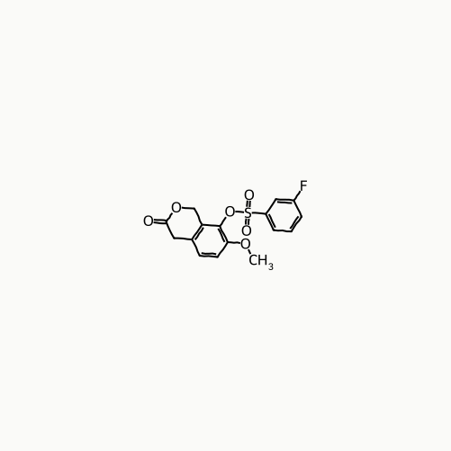 COc1ccc2c(c1OS(=O)(=O)c1cccc(F)c1)COC(=O)C2